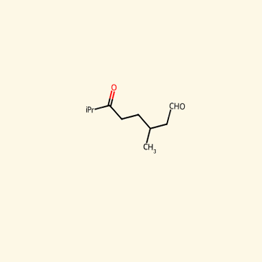 CC(CC=O)CCC(=O)C(C)C